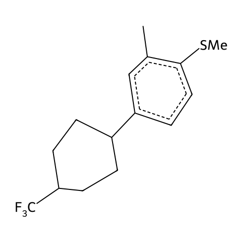 CSc1ccc(C2CCC(C(F)(F)F)CC2)cc1C